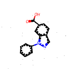 O=C(O)c1ccc2cnn(-c3ccccc3)c2c1